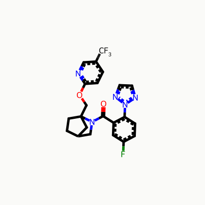 O=C(c1cc(F)ccc1-n1nccn1)N1CC2CCC1(COc1ccc(C(F)(F)F)cn1)C2